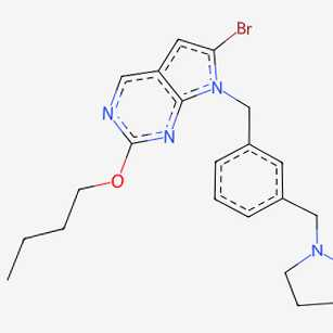 CCCCOc1ncc2cc(Br)n(Cc3cccc(CN4CCCC4)c3)c2n1